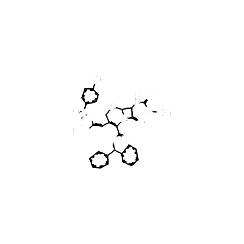 CC(=CC1=C(C(=O)OC(c2ccccc2)c2ccccc2)N2C(=O)C(NC(=O)OC(C)(C)C)C2SC1)OS(=O)(=O)c1ccc(C)cc1